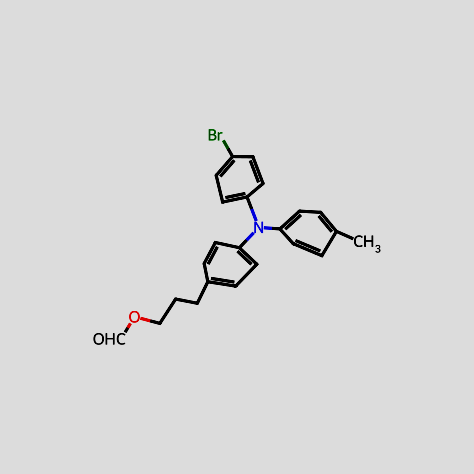 Cc1ccc(N(c2ccc(Br)cc2)c2ccc(CCCOC=O)cc2)cc1